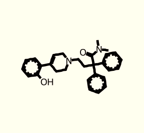 CN(C)C(=O)C(CCN1CC=C(c2ccccc2O)CC1)(c1ccccc1)c1ccccc1